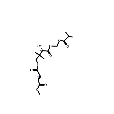 COC(=O)/C=C/C(=O)OCC(C)(C)[C@@H](O)C(=O)OCOC(=O)C(C)C